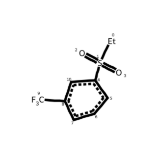 CCS(=O)(=O)c1cccc(C(F)(F)F)c1